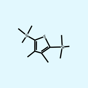 Cc1c([Si](C)(C)C)sc([Si](C)(C)C)c1C